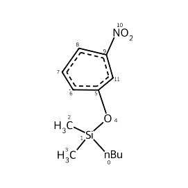 CCCC[Si](C)(C)Oc1[c]ccc([N+](=O)[O-])c1